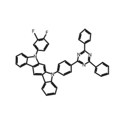 Fc1ccc(-n2c3ccccc3c3cc4c5ccccc5n(-c5ccc(-c6nc(-c7ccccc7)nc(-c7ccccc7)n6)cc5)c4cc32)cc1F